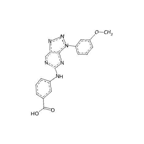 COc1cccc(-n2nnc3cnc(Nc4cccc(C(=O)O)c4)nc32)c1